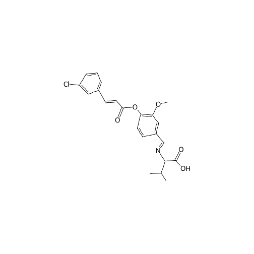 COc1cc(/C=N/C(C(=O)O)C(C)C)ccc1OC(=O)/C=C/c1cccc(Cl)c1